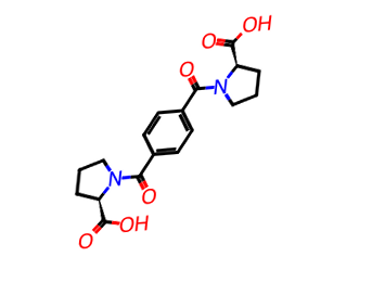 O=C(O)[C@H]1CCCN1C(=O)c1ccc(C(=O)N2CCC[C@@H]2C(=O)O)cc1